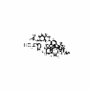 COc1cc(-c2ccc(C3CCc4ccc([C@H](C5CC5)[C@H](C)C(=O)O)cc4O3)cc2CN2C(C)(C)CCCC2(C)C)ccn1